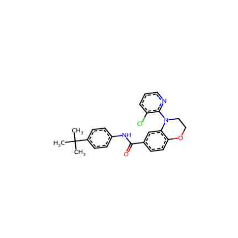 CC(C)(C)c1ccc(NC(=O)c2ccc3c(c2)N(c2ncccc2Cl)CCO3)cc1